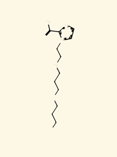 CCCCOCCCNCCn1c[c]nc1C(N)=O